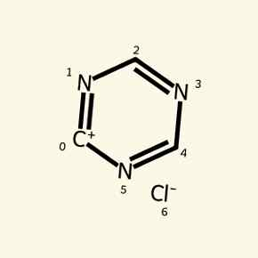 [C+]1=NC=NC=N1.[Cl-]